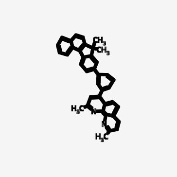 Cc1ccc2ccc3c(-c4cccc(-c5ccc6c(c5)C(C)(C)c5ccc7ccccc7c5-6)c4)cc(C)nc3c2n1